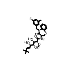 CO[C@@H](C(=O)NC1CSc2ccccc2N(Cc2cc(C)cc(F)c2)C1=O)[C@H](O)[C@@H](O)[C@H](O)/C=C/C(C)(C)C